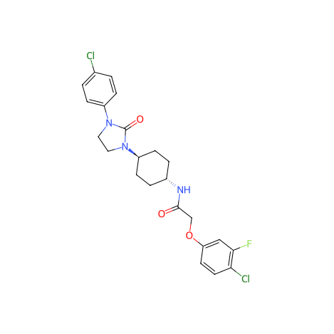 O=C(COc1ccc(Cl)c(F)c1)N[C@H]1CC[C@H](N2CCN(c3ccc(Cl)cc3)C2=O)CC1